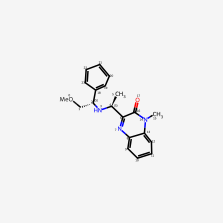 COC[C@@H](N[C@@H](C)c1nc2ccccc2n(C)c1=O)c1ccccc1